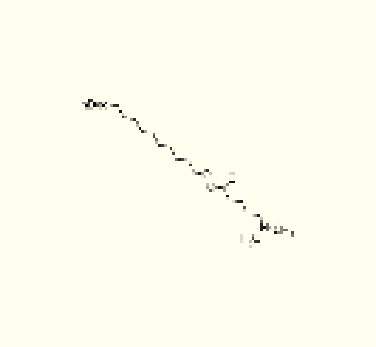 CCCCCCCCCCCCCCCCCCCCOOC(=O)CCCCN(C)C